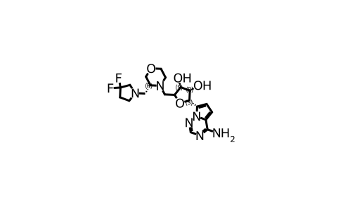 Nc1ncnn2c([C@@H]3OC(CN4CCOC[C@H]4CN4CCC(F)(F)C4)[C@@H](O)[C@H]3O)ccc12